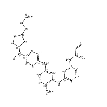 C=CC(=O)Nc1cccc(Oc2nc(Nc3ccc(N(C)[C@H]4CCN(CCOC)C4)cc3)ncc2OC)c1